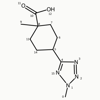 Cn1nnc(C2CCC(C)(C(=O)O)CC2)n1